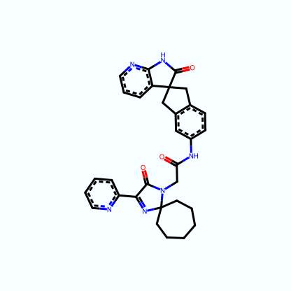 O=C(CN1C(=O)C(c2ccccn2)=NC12CCCCCC2)Nc1ccc2c(c1)CC1(C2)C(=O)Nc2ncccc21